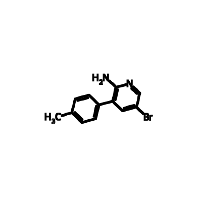 Cc1ccc(-c2cc(Br)cnc2N)cc1